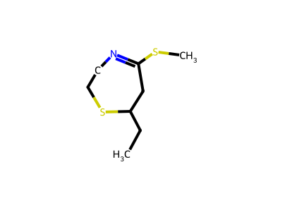 CCC1CC(SC)=NCCS1